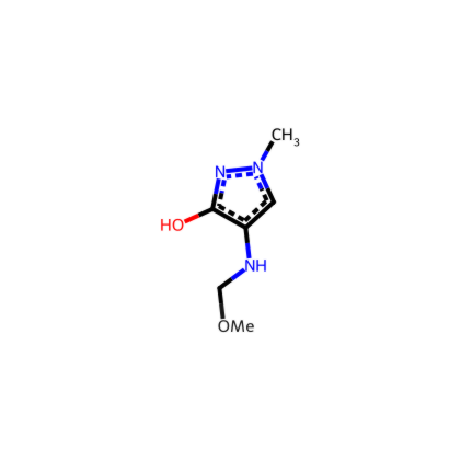 COCNc1cn(C)nc1O